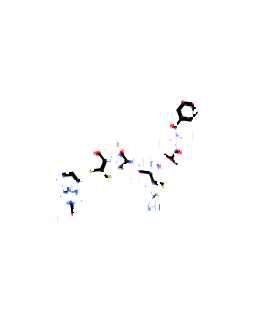 CC(C)(ON=C(C(=O)NC1C(=O)N2C(C(=O)O)=C(CSc3ccnc4nc(CO)nn34)CS[C@@H]12)c1csc(N)n1)C(=O)NNC(=O)c1ccc(O)c(O)c1.Cl